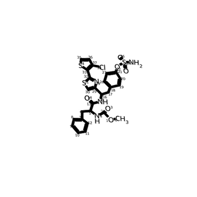 COC(=O)NC(Cc1ccccc1)C(=O)NC(Cc1ccc(OS(N)(=O)=O)cc1)c1csc(-c2sccc2Cl)n1